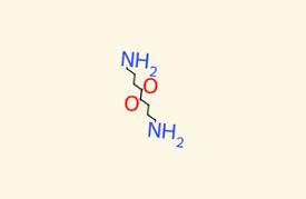 NCCCC(=O)C(=O)CCCN